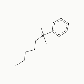 [CH2]CCCC[Si](C)(C)c1ccccc1